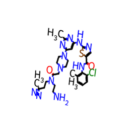 Cc1nc(Nc2ncc(C(=O)Nc3c(C)cccc3Cl)s2)cc(N2CCN(CC(=O)N(CCN)CCC3(C)N=N3)CC2)n1